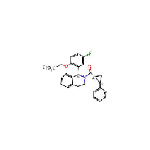 CCOC(=O)COc1ccc(F)cc1[C@@H]1c2ccccc2CCN1C(=O)[C@@H]1C[C@H]1c1ccccc1